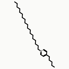 CCCCCCCCCCCCCCCCCCC[n+]1ccc(CCCCC)cc1